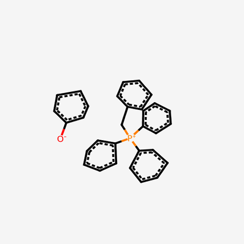 [O-]c1ccccc1.c1ccc(C[P+](c2ccccc2)(c2ccccc2)c2ccccc2)cc1